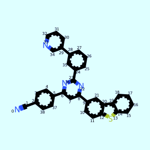 N#Cc1ccc(-c2cc(-c3ccc4sc5ccccc5c4c3)nc(-c3cccc(-c4cccnc4)c3)n2)cc1